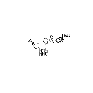 CC(C)(C)n1cc(NC(=O)c2cccc(C3CC3NC3CCN(C4CC4)CC3)c2)cn1.Cl.Cl